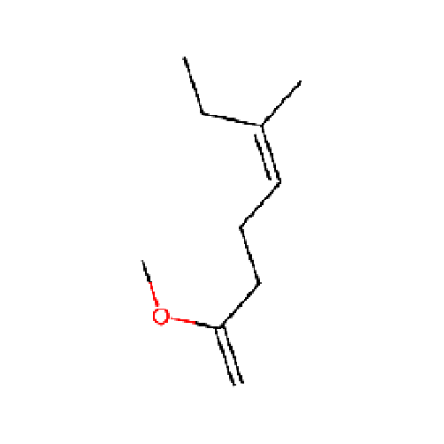 C=C(CCC=C(C)CC)OC